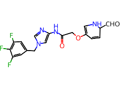 O=CC1C=CC(OCC(=O)Nc2cn(Cc3cc(F)c(F)c(F)c3)cn2)=CN1